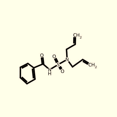 C=CCN(CC=C)S(=O)(=O)NC(=O)c1ccccc1